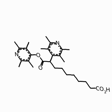 Cc1nc(C)c(C)c(OC(=O)C(CCCCCCCC(=O)O)c2c(C)c(C)nc(C)c2C)c1C